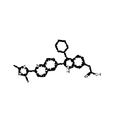 Cc1nc(C)c(-c2ccc3cc(-c4[nH]c5cc(CC(=O)O)ccc5c4C4CCCCC4)ccc3n2)s1